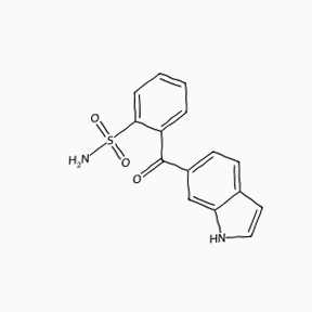 NS(=O)(=O)c1ccccc1C(=O)c1ccc2cc[nH]c2c1